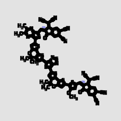 COc1cc(/C=C2\C(=O)c3cc(C#N)c(C#N)cc3C2=C(C#N)C#N)sc1-c1cc2c(s1)-c1sc(-c3sc(-c4cc5c(s4)-c4sc(-c6sc(/C=C7\C(=O)c8cc(C#N)c(C#N)cc8C7=C(C#N)C#N)c7nc(C)c(C)nc67)cc4OC5(C)C)c4c3N=S=N4)cc1C(C)(C)O2